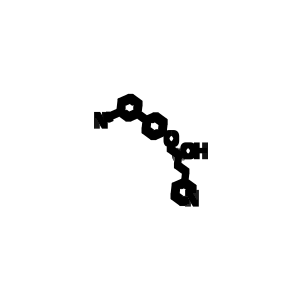 N#Cc1cccc(-c2ccc(OC[C@@H](O)CCc3cccnc3)cc2)c1